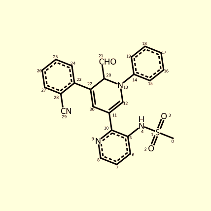 CS(=O)(=O)Nc1cccnc1C1=CN(c2ccccc2)C(C=O)C(c2ccccc2C#N)=C1